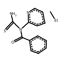 CCC.NC(=S)N(C(=O)c1ccccc1)c1ccccn1